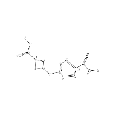 CCC(=O)N1CC(Cc2ccc(C(=O)OC)cc2)C1